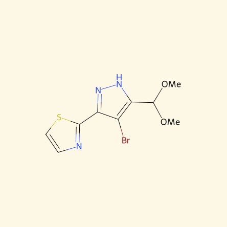 COC(OC)c1[nH]nc(-c2nccs2)c1Br